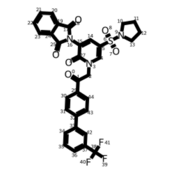 O=C(Cn1cc(S(=O)(=O)N2CCCC2)cc(N2C(=O)c3ccccc3C2=O)c1=O)c1ccc(-c2cccc(C(F)(F)F)c2)cc1